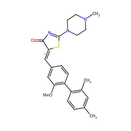 COc1cc(/C=C2\SC(N3CCN(C)CC3)=NC2=O)ccc1-c1ccc(C)cc1C